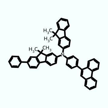 CC1(C)c2ccccc2-c2ccc(N(c3ccc(-c4cc5ccccc5c5ccccc45)cc3)c3ccc4c(c3)C(C)(C)c3cc(-c5ccccc5)ccc3-4)cc21